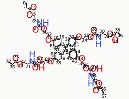 C=CC(=O)OCCNC(=O)OCCOc1ccc(C(c2ccc(OCCOC(=O)NCCOC(=O)C=C)cc2)C(c2ccc(OCCOC(O)NCCOC(=O)C=C)cc2)c2ccc(OCCOC(O)NCCOC(=O)C=C)cc2)cc1